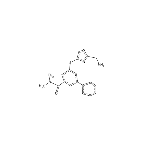 CN(C)C(=O)c1cc(Sc2csc(CN)n2)cc(-c2ccccc2)c1